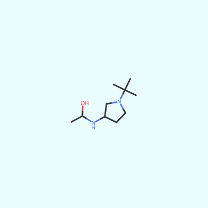 CC(O)NC1CCN(C(C)(C)C)C1